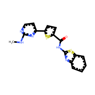 CNc1nccc(-c2ccc(C(=O)Nc3nc4ccccc4s3)s2)n1